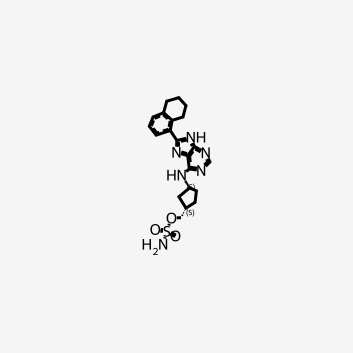 NS(=O)(=O)OC[C@H]1CC[C@H](Nc2ncnc3[nH]c(-c4cccc5c4CCCC5)nc23)C1